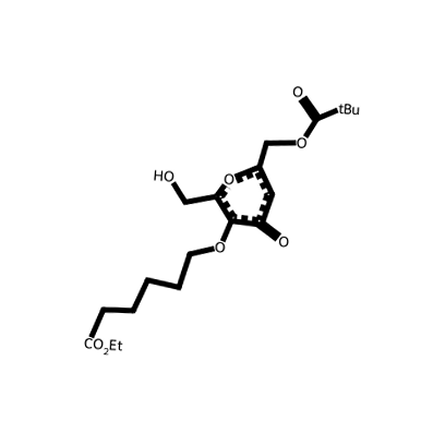 CCOC(=O)CCCCCOc1c(CO)oc(COC(=O)C(C)(C)C)cc1=O